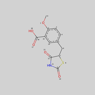 COc1ccc(CC2SC(=O)NC2=O)cc1C(=O)O